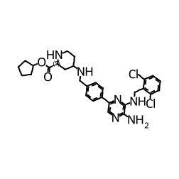 Nc1ncc(-c2ccc(CNC3CCN[C@H](C(=O)OC4CCCC4)C3)cc2)nc1NCc1c(Cl)cccc1Cl